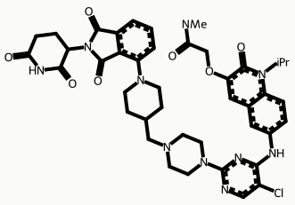 CNC(=O)COc1cc2cc(Nc3nc(N4CCN(CC5CCN(c6cccc7c6C(=O)N(C6CCC(=O)NC6=O)C7=O)CC5)CC4)ncc3Cl)ccc2n(C(C)C)c1=O